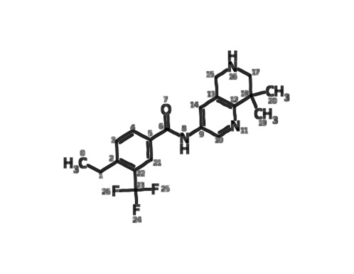 CCc1ccc(C(=O)Nc2cnc3c(c2)CNCC3(C)C)cc1C(F)(F)F